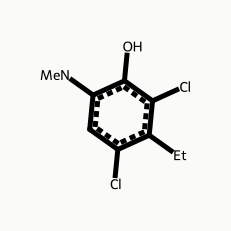 CCc1c(Cl)cc(NC)c(O)c1Cl